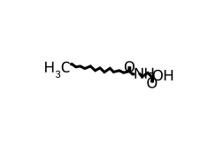 CCCCCCCCCCCCCC(=O)CNCCC(=O)O